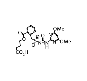 COc1cc(OC)nc(NC(=O)NS(=O)(=O)Cc2ccccc2C(=O)OCCCC(=O)O)n1